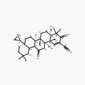 CC1(C)CC[C@]2([C@H]3CO3)CC[C@]3(C)C(C(=O)C[C@@H]4[C@@]5(C)C=C(C#N)C(=O)C(C)(C)[C@@H]5CC[C@]43C)C2C1